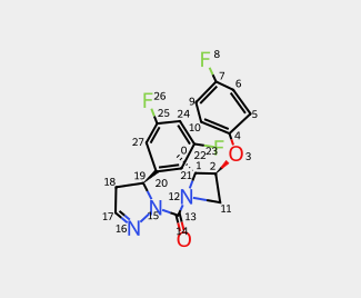 C[C@@H]1[C@@H](Oc2ccc(F)cc2)CN1C(=O)N1N=CC[C@H]1c1cc(F)cc(F)c1